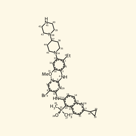 CCc1cc(Nc2ncc(Br)c(Nc3ccc4nc(C5CC5)ccc4c3P(C)(C)=O)n2)c(OC)cc1N1CCC(N2CCNCC2)CC1